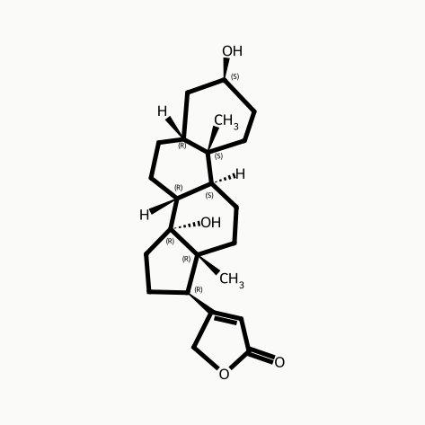 C[C@]12CC[C@H](O)C[C@H]1CC[C@@H]1[C@@H]2CC[C@]2(C)[C@@H](C3=CC(=O)OC3)CC[C@@]12O